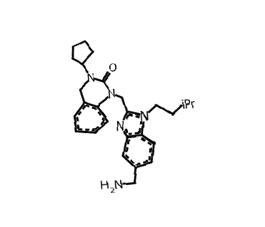 CC(C)CCn1c(CN2C(=O)N(C3CCCC3)Cc3ccccc32)nc2cc(CN)ccc21